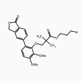 COc1ccc(-c2ccc3c(c2)COC3=O)c(OCC(C)(C)C(=O)OCCCF)c1OC